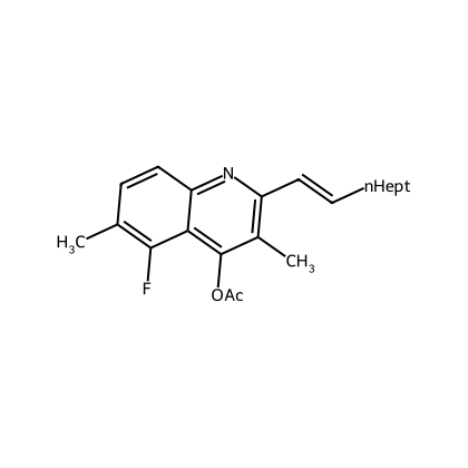 CCCCCCCC=Cc1nc2ccc(C)c(F)c2c(OC(C)=O)c1C